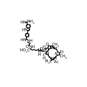 CC[C@H]1C2Cc3[nH]c4c(c3C)C(=O)C(C(=O)OC)/C4=C3N=C(/C=c4\[nH]/c(c(C(C)=O)c4C)=C\C(=N2)[C@@H]1C)[C@@H](C)[C@@H]/3CCC(=O)NCCCCC(NC(=O)CCNC(=N)c1ccc(-c2cc3ccc(C(=N)N)cc3[nH]2)cc1)C(=O)O